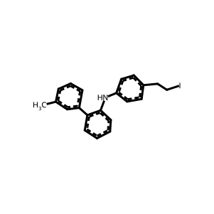 Cc1cccc(-c2ccccc2Nc2ccc(CCI)cc2)c1